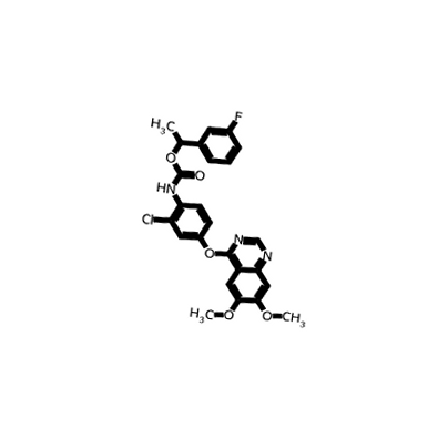 COc1cc2ncnc(Oc3ccc(NC(=O)OC(C)c4cccc(F)c4)c(Cl)c3)c2cc1OC